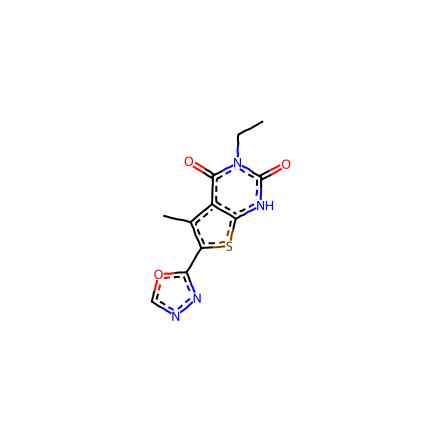 CCn1c(=O)[nH]c2sc(-c3nnco3)c(C)c2c1=O